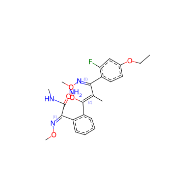 CCOc1ccc(C(=N/OC)/C(C)=C(\ON)c2ccccc2/C(=N\OC)C(=O)NC)c(F)c1